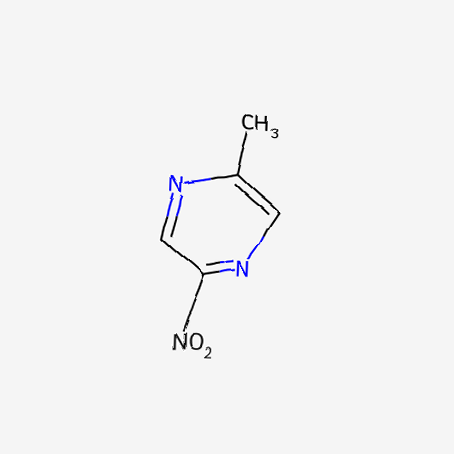 Cc1cnc([N+](=O)[O-])cn1